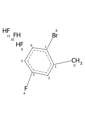 Cc1cc(F)ccc1Br.F.F.F